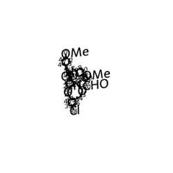 COc1ccc(CN(Cc2ccc(OC)cc2)S(=O)(=O)c2ccc3c(c2)N(C[C@@H]2CC[C@H]2C=O)COCCc2cc(Cl)ccc2CO3)cc1